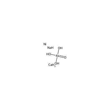 O=[As](O)(O)O.[CaH2].[NaH].[Ni]